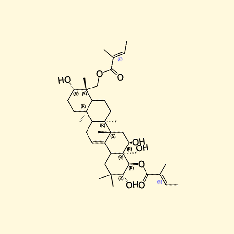 C/C=C(\C)C(=O)OC[C@]1(C)C2CC[C@]3(C)C(CC=C4C5CC(C)(C)[C@@H](O)[C@H](OC(=O)/C(C)=C/C)[C@]5(CO)[C@H](O)C[C@]43C)[C@@]2(C)CC[C@@H]1O